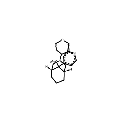 COC1(c2ccnc(Cl)c2)[C@@H]2CCC[C@H]1CN(C1CCOCC1)C2